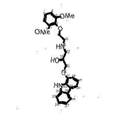 COc1cccc(OC)c1OCCNCC(O)COc1cccc2c1[nH]c1ccccc12